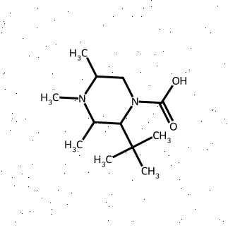 CC1CN(C(=O)O)C(C(C)(C)C)C(C)N1C